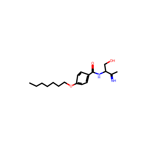 CCCCCCCOc1ccc(C(=O)NC(CO)C(C)=N)cc1